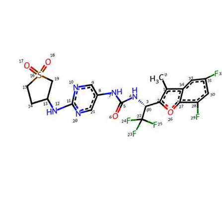 Cc1c([C@@H](NC(=O)Nc2cnc(NC3CCS(=O)(=O)C3)nc2)C(F)(F)F)oc2c(F)cc(F)cc12